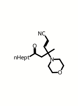 CCCCCCCC(=O)CC(C)(C=CC#N)N1CCOCC1